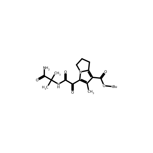 Cc1c(C(=O)OC(C)(C)C)c2n(c1C(=O)C(=O)NC(C)(C)C(N)=O)CCC2